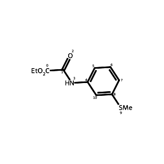 CCOC(=O)C(=O)Nc1cccc(SC)c1